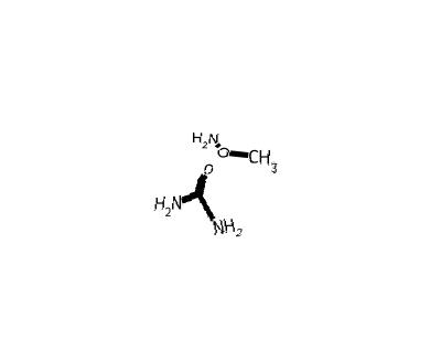 CON.NC(N)=O